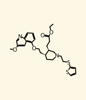 CCOC(=O)CC[C@H]1CN(CCSc2cccs2)CC[C@H]1CCOc1cccc2ncc(OC)cc12